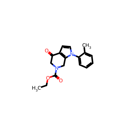 CCOC(=O)N1CC(=O)c2ccn(-c3ccccc3C)c2C1